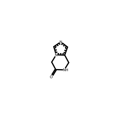 O=C1Cn2cncc2CN1